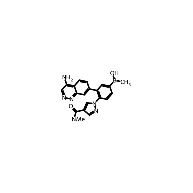 CNC(=O)c1cnn(-c2ccc(B(C)O)cc2-c2ccc3c(N)cnnc3c2)c1